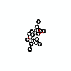 c1ccc(-c2ccc(N(c3ccc4ccc5ccc(N(c6ccc(-c7ccccc7)cc6-c6ccccc6)c6cccc7c6oc6ccccc67)c6ccc3c4c56)c3cccc4c3oc3ccccc34)c(-c3ccccc3)c2)cc1